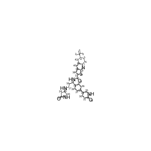 CC(C)(C)[C@H]1CCc2nc3sc(C(=O)N[C@H](CCNC4CNC(=O)C4)c4ccc(-c5ccc(=O)[nH]c5)cc4)cc3cc2C1